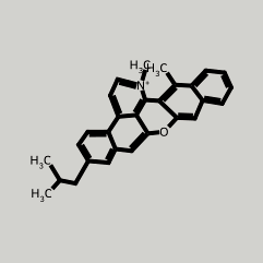 Cc1c2c(cc3ccccc13)Oc1cc3cc(CC(C)C)ccc3c3cc[n+](C)c-2c13